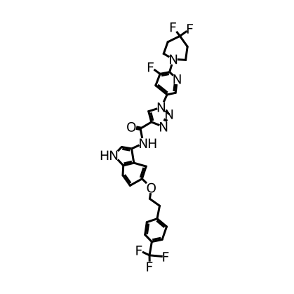 O=C(Nc1c[nH]c2ccc(OCCc3ccc(C(F)(F)F)cc3)cc12)c1cn(-c2cnc(N3CCC(F)(F)CC3)c(F)c2)nn1